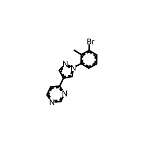 Cc1c(Br)cccc1-n1cc(-c2ccncn2)cn1